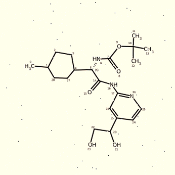 CC1CCC([C@H](NC(=O)OC(C)(C)C)C(=O)Nc2cc(C(O)CO)ccn2)CC1